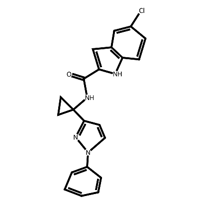 O=C(NC1(c2ccn(-c3ccccc3)n2)CC1)c1cc2cc(Cl)ccc2[nH]1